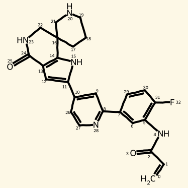 C=CC(=O)Nc1cc(-c2cc(-c3cc4c([nH]3)C3(CCCNC3)CNC4=O)ccn2)ccc1F